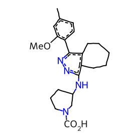 COc1cc(C)ccc1-c1nnc(NC2CCCN(C(=O)O)C2)c2c1CCCCC2